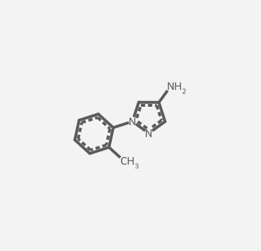 Cc1ccccc1-n1cc(N)cn1